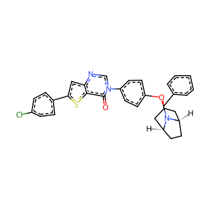 O=c1c2sc(-c3ccc(Cl)cc3)cc2ncn1-c1ccc(O[C@H]2C[C@H]3CC[C@@H](C2)N3Cc2ccccc2)cc1